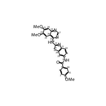 COc1ccc(C(=O)Nc2ccc3nc(Nc4ncnc5cc(OC)c(OC)cc45)sc3c2)cc1